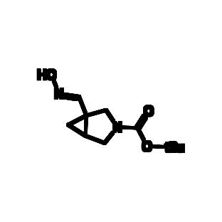 CC(C)(C)OC(=O)N1CC2CC2(/C=N/O)C1